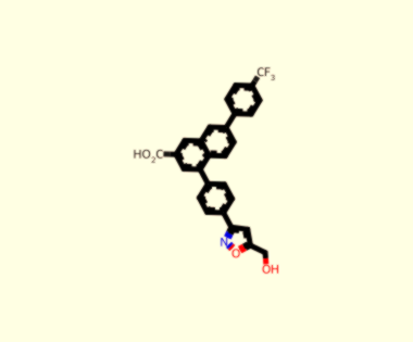 O=C(O)c1cc(-c2ccc(-c3cc(CO)on3)cc2)c2ccc(-c3ccc(C(F)(F)F)cc3)cc2c1